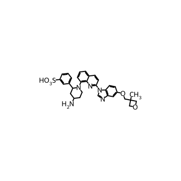 CC1(COc2ccc3c(c2)ncn3-c2ccc3cccc(N4CCC(N)CC4c4cccc(S(=O)(=O)O)c4)c3n2)COC1